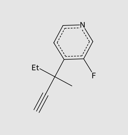 C#CC(C)(CC)c1ccncc1F